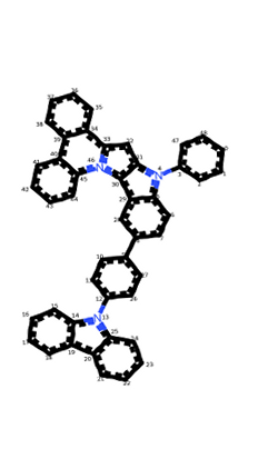 c1ccc(-n2c3ccc(-c4ccc(-n5c6ccccc6c6ccccc65)cc4)cc3c3c2cc2c4ccccc4c4ccccc4n23)cc1